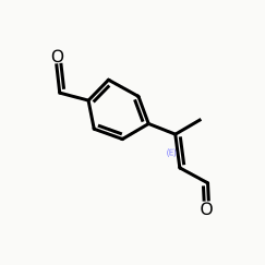 C/C(=C\C=O)c1ccc(C=O)cc1